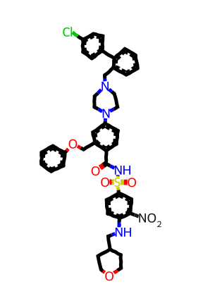 O=C(NS(=O)(=O)c1ccc(NCC2CCOCC2)c([N+](=O)[O-])c1)c1ccc(N2CCN(Cc3ccccc3-c3ccc(Cl)cc3)CC2)cc1COc1ccccc1